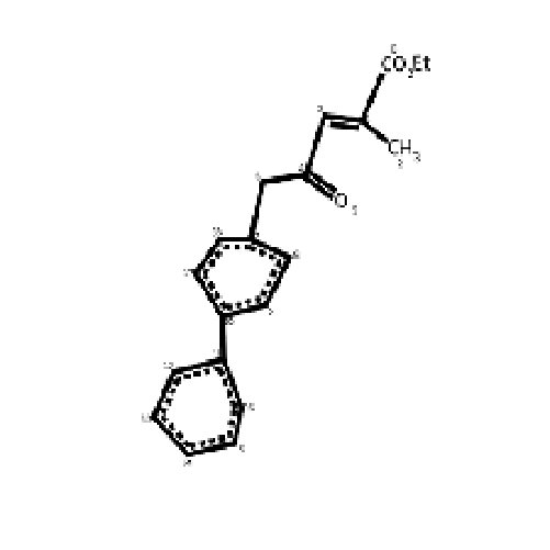 CCOC(=O)/C(C)=C/C(=O)Cc1ccc(-c2ccccc2)cc1